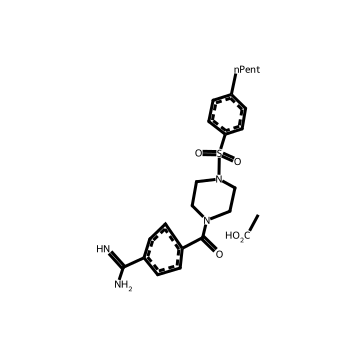 CC(=O)O.CCCCCc1ccc(S(=O)(=O)N2CCN(C(=O)c3ccc(C(=N)N)cc3)CC2)cc1